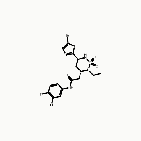 CCN1[C@@H](CC(=O)Nc2ccc(F)c(Cl)c2)C[C@@H](c2ncc(Br)s2)NS1(=O)=O